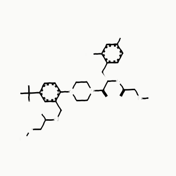 CNCC(=O)N[C@H](Cc1ccc(Cl)cc1C)C(=O)N1CCN(c2ccc(C(F)(F)F)cc2CNC(C)COC)CC1